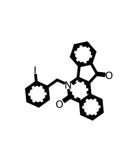 O=C1c2ccccc2-c2c1c1ccccc1c(=O)n2Cc1ccccc1I